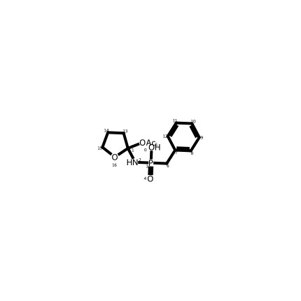 CC(=O)OC1(NP(=O)(O)Cc2ccccc2)CCCO1